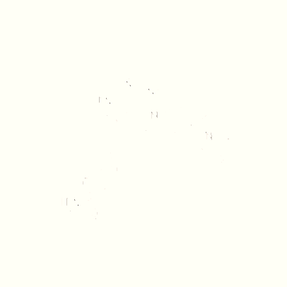 Nc1ncnc2c1c(-c1cccc(OCCS(N)(=O)=O)c1)cn2C1CC(CN2CCC2)C1